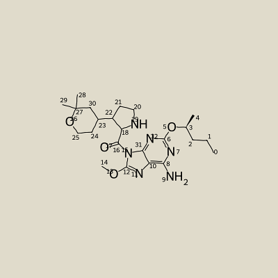 CCC[C@H](C)Oc1nc(N)c2nc(OC)n(C(=O)C3NCCC3C3CCOC(C)(C)C3)c2n1